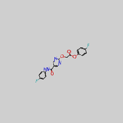 O=C(COc1ncc(C(=O)Nc2ccc(F)cc2)cn1)Oc1ccc(F)cc1